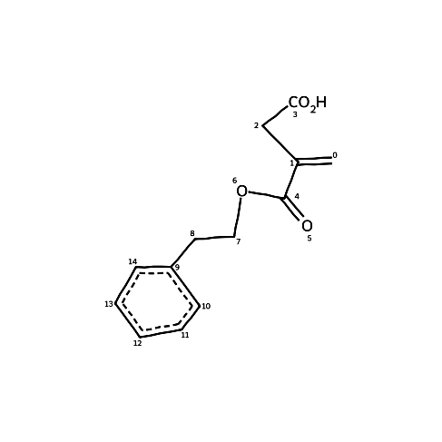 C=C(CC(=O)O)C(=O)OCCc1ccccc1